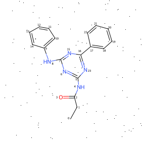 CCC(=O)Nc1nc(Nc2ccccc2)nc(-c2ccccc2)n1